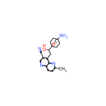 Cc1ccc2ncc(C#N)c(CC(O)C34CCC(N)(CC3)CO4)c2n1